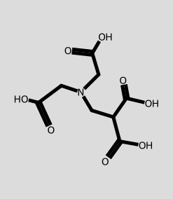 O=C(O)CN(CC(=O)O)CC(C(=O)O)C(=O)O